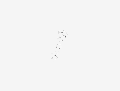 Cc1cccc2ccn(Cc3ccc(C4COC(c5c(F)cccc5F)=N4)cc3)c12